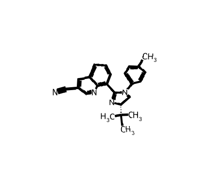 Cc1ccc(N2C[C@H](C(C)(C)C)N=C2c2cccc3cc(C#N)cnc23)cc1